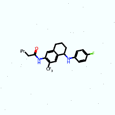 CC(C)CC(=O)Nc1cc2c(cc1C(F)(F)F)C(Nc1ccc(F)cc1)CCC2